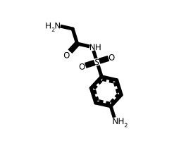 NCC(=O)NS(=O)(=O)c1ccc(N)cc1